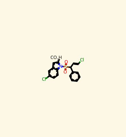 O=C(O)c1cc2cc(Cl)ccc2n1S(=O)(=O)C(C=CCl)c1ccccc1